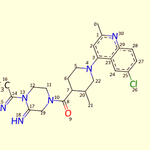 Cc1cc(N2CCC(C(=O)N3CCN(C(=N)C(F)(F)F)C(=N)C3)C(C)C2)c2cc(Cl)ccc2n1